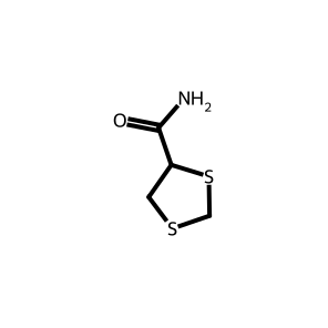 NC(=O)C1CSCS1